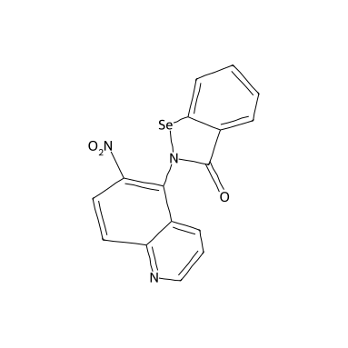 O=c1c2ccccc2[se]n1-c1c([N+](=O)[O-])ccc2ncccc12